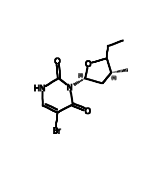 CCC1O[C@@H](n2c(=O)[nH]cc(Br)c2=O)C[C@H]1C